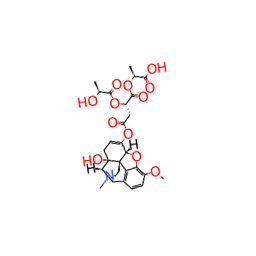 COc1ccc2c3c1O[C@H]1C(OC(=O)C[C@H](OC(=O)[C@H](C)O)C(=O)O[C@@H](C)C(=O)O)=CC[C@@]4(O)[C@@H](C2)N(C)CC[C@]314